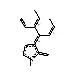 C=CC(=C\C)/C(/C=C\C)=c1\cc[nH]c1=C